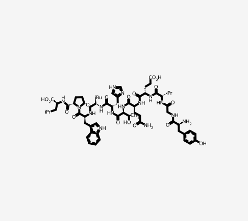 CC[C@H](C)[C@H](NC(=O)[C@H](Cc1c[nH]cn1)NC(=O)[C@@H](NC(=O)[C@H](CCC(N)=O)NC(=O)[C@H](CCC(=O)O)NC(=O)[C@@H](NC(=O)CNC(=O)[C@@H](N)Cc1ccc(O)cc1)C(C)C)[C@@H](C)O)C(=O)N[C@@H](Cc1c[nH]c2ccccc12)C(=O)N1CCC[C@H]1C(=O)N[C@@H](CC(C)C)C(=O)O